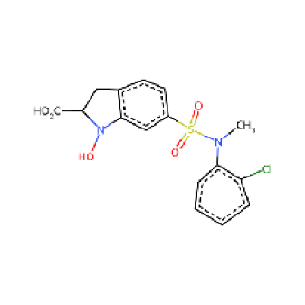 CN(c1ccccc1Cl)S(=O)(=O)c1ccc2c(c1)N(O)C(C(=O)O)C2